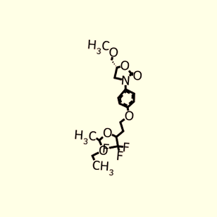 CCOC(C)OC(CCOc1ccc(N2C[C@H](COC)OC2=O)cc1)C(F)(F)F